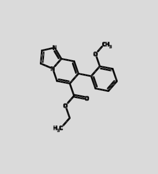 CCOC(=O)c1cn2ccnc2cc1-c1ccccc1OC